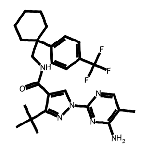 Cc1cnc(-n2cc(C(=O)NCC3(c4ccc(C(F)(F)F)cc4)CCCCC3)c(C(C)(C)C)n2)nc1N